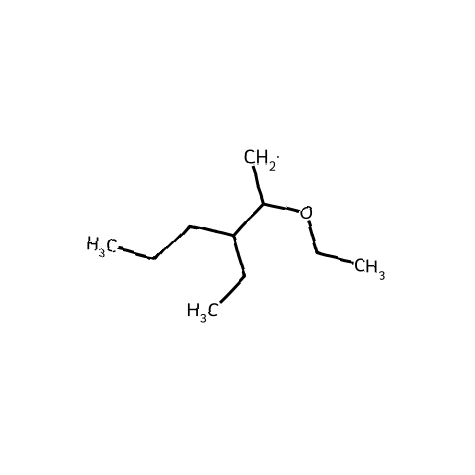 [CH2]C(OCC)C(CC)CCC